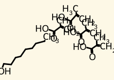 C=C(C)C(=O)O.C=C(C)C(=O)O.C=C(C)C(=O)O.C=C(C)C(=O)O.CCCCCCCCCO